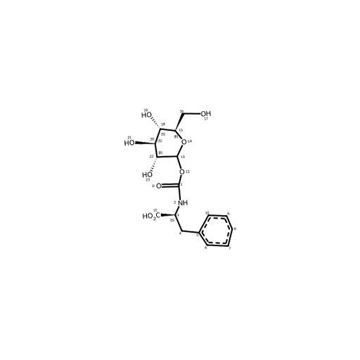 O=C(N[C@@H](Cc1ccccc1)C(=O)O)OC1O[C@H](CO)[C@@H](O)[C@H](O)[C@H]1O